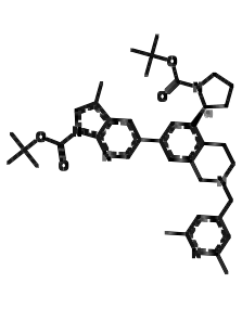 Cc1cc(CN2CCc3c(cc(-c4cnc5c(c4)c(C)cn5C(=O)OC(C)(C)C)cc3[C@@H]3CCCN3C(=O)OC(C)(C)C)C2)cc(C)n1